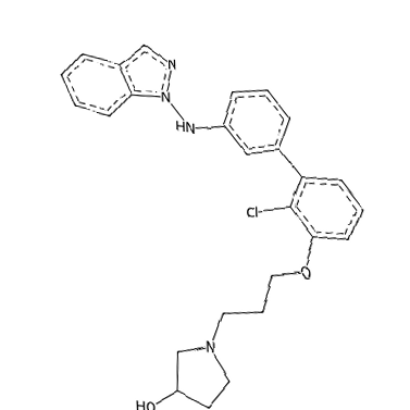 OC1CCN(CCCOc2cccc(-c3cccc(Nn4ncc5ccccc54)c3)c2Cl)C1